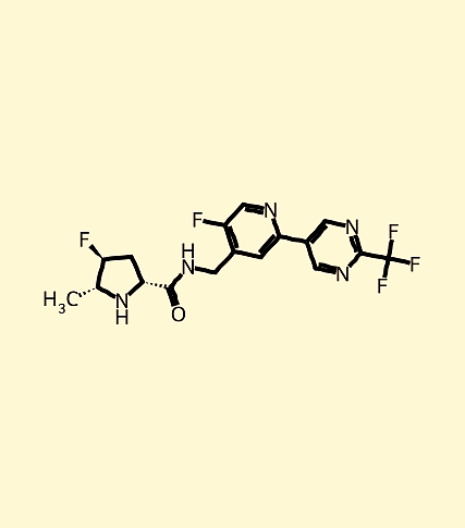 C[C@H]1N[C@@H](C(=O)NCc2cc(-c3cnc(C(F)(F)F)nc3)ncc2F)C[C@@H]1F